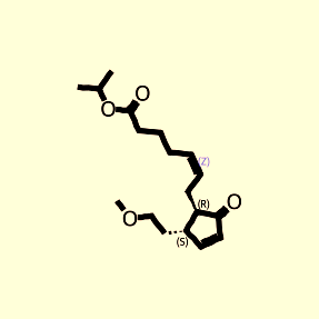 COCC[C@H]1C=CC(=O)[C@@H]1C/C=C\CCCC(=O)OC(C)C